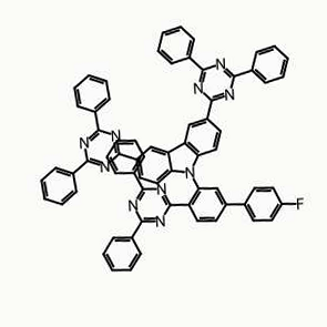 Fc1ccc(-c2ccc(-c3nc(-c4ccccc4)nc(-c4ccccc4)n3)c(-n3c4ccc(-c5nc(-c6ccccc6)nc(-c6ccccc6)n5)cc4c4cc(-c5nc(-c6ccccc6)nc(-c6ccccc6)n5)ccc43)c2)cc1